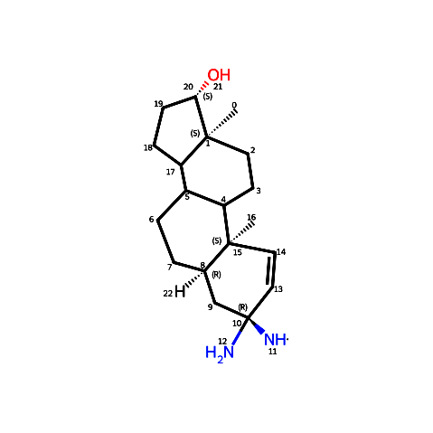 C[C@]12CCC3C(CC[C@@H]4C[C@@]([NH])(N)C=C[C@]34C)C1CC[C@@H]2O